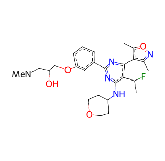 CNCC(O)COc1cccc(-c2nc(NC3CCOCC3)c(C(C)F)c(-c3c(C)noc3C)n2)c1